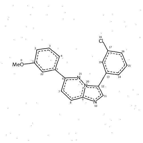 COc1cccc(-c2ccc3ncc(-c4cccc(Cl)c4)n3n2)c1